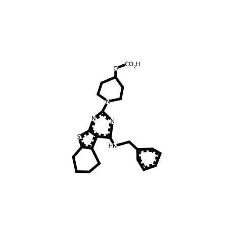 O=C(O)OC1CCN(c2nc(NCc3ccccc3)c3c4c(sc3n2)CCCC4)CC1